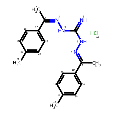 CC(=NNC(=N)NN=C(C)c1ccc(C)cc1)c1ccc(C)cc1.Cl